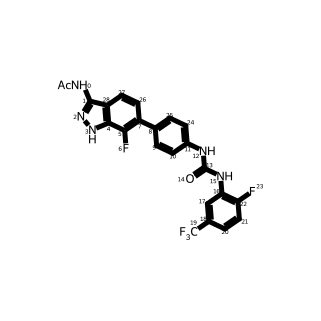 CC(=O)Nc1n[nH]c2c(F)c(-c3ccc(NC(=O)Nc4cc(C(F)(F)F)ccc4F)cc3)ccc12